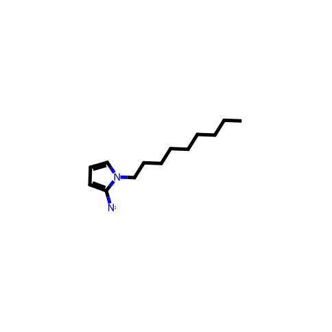 CCCCCCCCCn1cccc1[N]